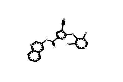 N#Cc1cc(C(=O)Nc2cnc3ccccc3c2)sc1Sc1c(Cl)cncc1Cl